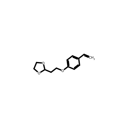 C=Cc1ccc(OCCC2OCCO2)cc1